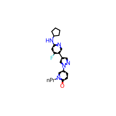 CCCn1cc(-n2cc(-c3cnc(NC4CCCC4)cc3F)cn2)ccc1=O